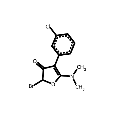 CN(C)C1=C(c2cccc(Cl)c2)C(=O)C(Br)O1